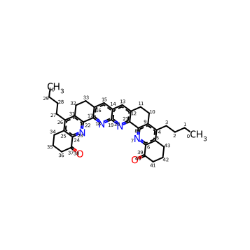 CCCCc1c2c(nc3c1CCc1cc4cc5c(nc4nc1-3)-c1nc3c(c(CCCC)c1CC5)CCCC3=O)C(=O)CCC2